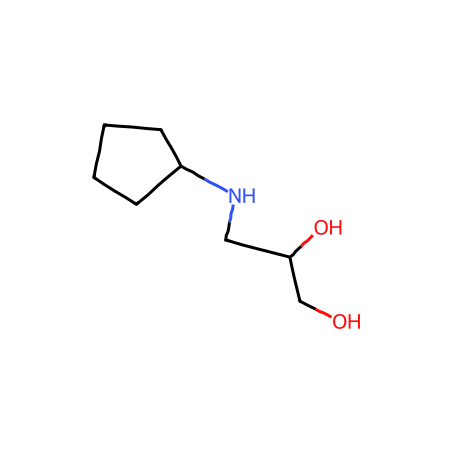 OCC(O)CNC1CCCC1